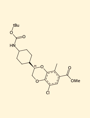 COC(=O)c1cc(Cl)c2c(c1C)O[C@H](C1CCC(NC(=O)OC(C)(C)C)CC1)CO2